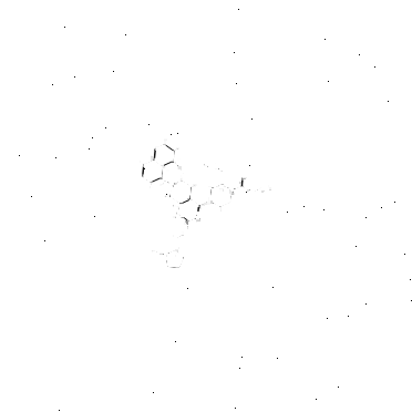 CN1CCC[C@H]1COc1nc2c(c(N3CCN(C(=O)OC(C)(C)C)[C@@H](CC#N)C3)n1)CCN(c1cccc3cccc(Cl)c13)C2